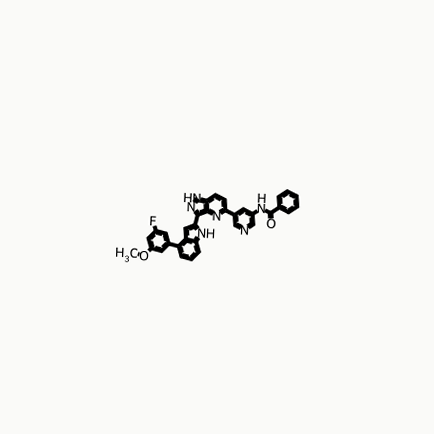 COc1cc(F)cc(-c2cccc3[nH]c(-c4n[nH]c5ccc(-c6cncc(NC(=O)c7ccccc7)c6)nc45)cc23)c1